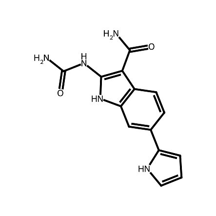 NC(=O)Nc1[nH]c2cc(-c3ccc[nH]3)ccc2c1C(N)=O